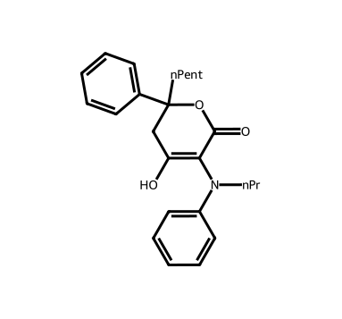 CCCCCC1(c2ccccc2)CC(O)=C(N(CCC)c2ccccc2)C(=O)O1